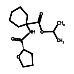 CC(C)OC(=O)C1(NC(=O)[C@@H]2CCCO2)CCCCC1